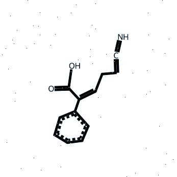 N=C=CCC=C(C(=O)O)c1ccccc1